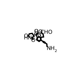 NCCC#Cc1ccc2c3c1CCCn3c(=O)n2C1CCC(=O)NC1=O.O=CO